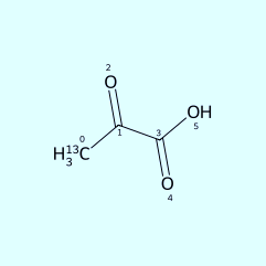 [13CH3]C(=O)C(=O)O